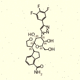 NC(=O)c1cccc2c1CCC2[C@H]1CCO[C@]12O[C@H](CO)[C@H](O)[C@H](n1cc(-c3cc(F)c(F)c(F)c3)nn1)[C@H]2O